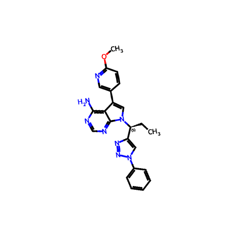 CC[C@@H](c1cn(-c2ccccc2)nn1)n1cc(-c2ccc(OC)nc2)c2c(N)ncnc21